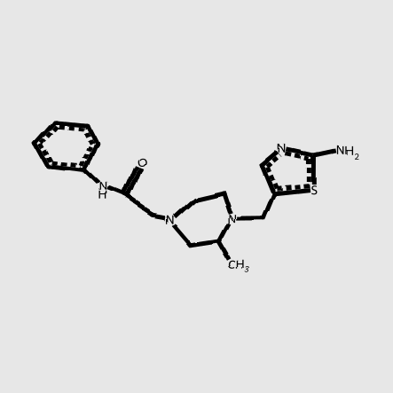 CC1CN(CC(=O)Nc2ccccc2)CCN1Cc1cnc(N)s1